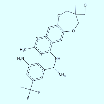 Cc1nc(N[C@H](C)c2cc(N)cc(C(F)(F)F)c2)c2cc3c(cc2n1)OCC1(COC1)CO3